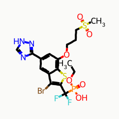 CCOP(=O)(O)C(F)(F)c1sc2c(OCCCS(C)(=O)=O)cc(-c3nc[nH]n3)cc2c1Br